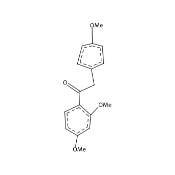 COc1ccc(CC(=O)c2ccc(OC)cc2OC)cc1